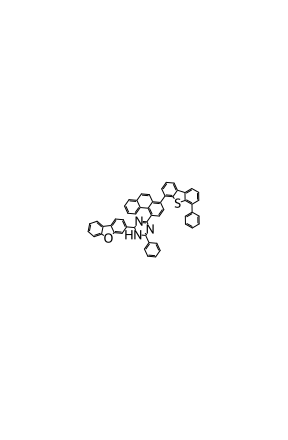 c1ccc(C2=NC(c3ccc(-c4cccc5c4sc4c(-c6ccccc6)cccc45)c4ccc5ccccc5c34)=NC(c3ccc4c(c3)oc3ccccc34)N2)cc1